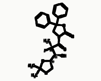 CC1(C)OC[C@H]([C@@H](O)[C@@](C)(F)C(=O)N2CC(c3ccccc3)(c3ccccc3)OC2=O)O1